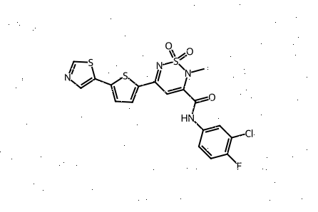 CN1C(C(=O)Nc2ccc(F)c(Cl)c2)=CC(c2ccc(-c3cncs3)s2)=NS1(=O)=O